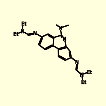 CCN(/C=N/c1ccc2c(c1)nc(N(C)C)c1cc(/N=C/N(CC)CC)ccc12)CC